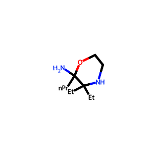 CCCC1(N)OCCNC1(CC)CC